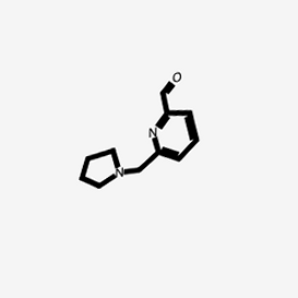 O=Cc1cccc(CN2CCCC2)n1